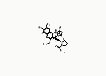 CSc1nc2c(F)c(Br)c(C)cc2c(N[C@H]2[C@@H]3C[C@H]2N(C(=O)O)C3)c1C#C[C@H]1CCCN1C(C)=O